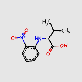 CC(C)[C@H](Nc1ccccc1[N+](=O)[O-])C(=O)O